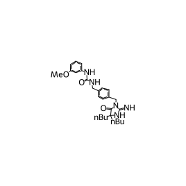 CCCCC1(CCCC)NC(=N)N(Cc2ccc(CNC(=O)Nc3cccc(OC)c3)cc2)C1=O